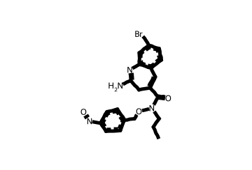 CCCN(OCc1ccc(N=O)cc1)C(=O)C1=Cc2ccc(Br)cc2N=C(N)C1